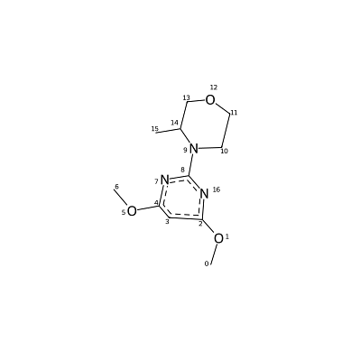 COc1cc(OC)nc(N2CCOCC2C)n1